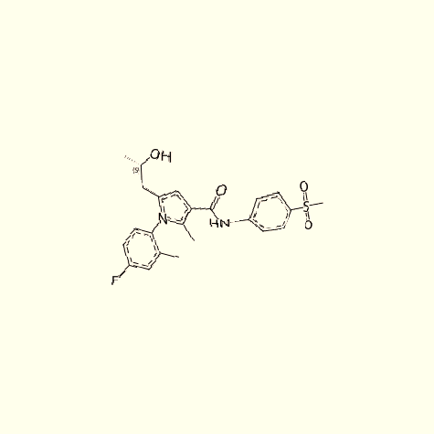 Cc1cc(F)ccc1-n1c(C[C@H](C)O)cc(C(=O)Nc2ccc(S(C)(=O)=O)cc2)c1C